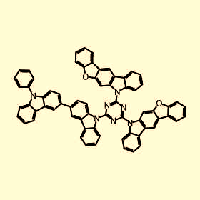 c1ccc(-n2c3ccccc3c3cc(-c4ccc5c(c4)c4ccccc4n5-c4nc(-n5c6ccccc6c6cc7c(cc65)oc5ccccc57)nc(-n5c6ccccc6c6cc7c(cc65)oc5ccccc57)n4)ccc32)cc1